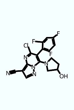 N#Cc1cnn2c(N3CCC(O)C3)c(-c3c(F)cc(F)cc3F)c(Cl)nc12